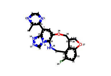 Cc1nccnc1-c1cc2c(n3cnnc13)NCc1c(F)ccc3c1[C@@H](CO3)CO2